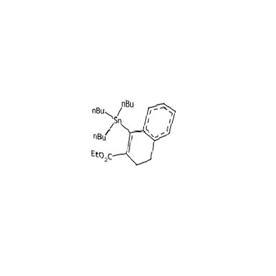 CCC[CH2][Sn]([CH2]CCC)([CH2]CCC)[C]1=C(C(=O)OCC)CCc2ccccc21